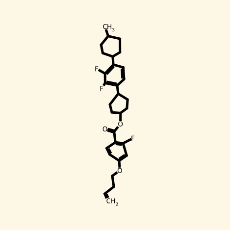 C=CCCOc1ccc(C(=O)OC2CCC(c3ccc(C4CCC(C)CC4)c(F)c3F)CC2)c(F)c1